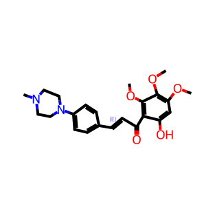 COc1cc(O)c(C(=O)/C=C/c2ccc(N3CCN(C)CC3)cc2)c(OC)c1OC